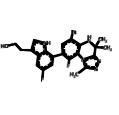 CCc1cc(-c2cc(F)cc3c(CCO)c[nH]c23)c(F)c2c1NC(C)(C)c1nnc(C)n1-2